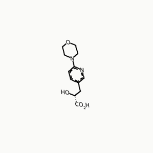 O=C(O)[C@H](O)Cc1ccc(N2CCOCC2)nc1